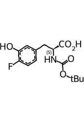 CC(C)(C)OC(=O)N[C@@H](Cc1ccc(F)c(O)c1)C(=O)O